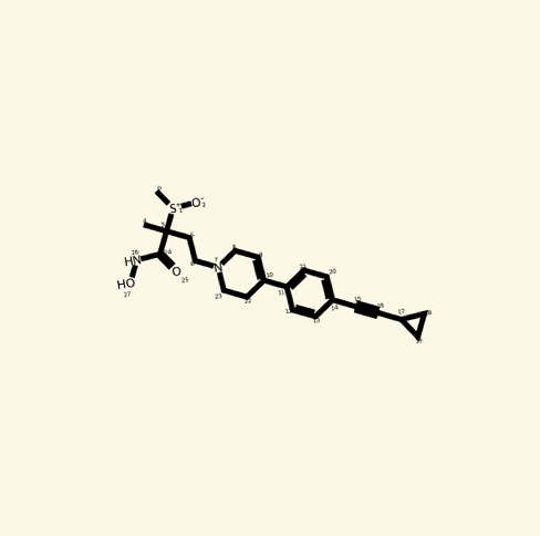 C[S+]([O-])C(C)(CCN1CC=C(c2ccc(C#CC3CC3)cc2)CC1)C(=O)NO